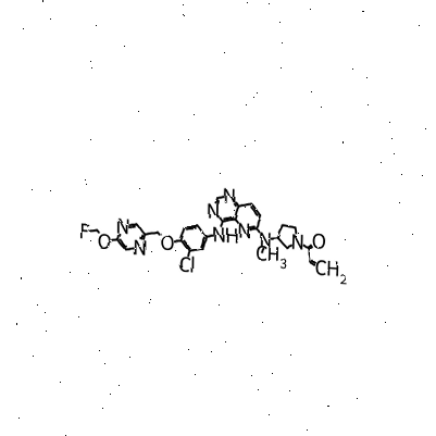 C=CC(=O)N1CC[C@H](N(C)c2ccc3ncnc(Nc4ccc(OCc5cnc(OCF)cn5)c(Cl)c4)c3n2)C1